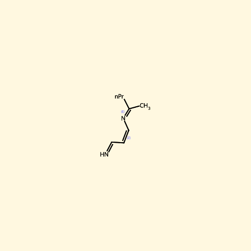 CCC/C(C)=N/C=C\C=N